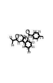 Cc1ccc(C(=O)n2c(C)c(CC(=O)C(C)C)c3cc(C)ccc32)cc1